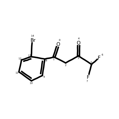 O=C(CC(=O)C(F)F)c1ccccc1Br